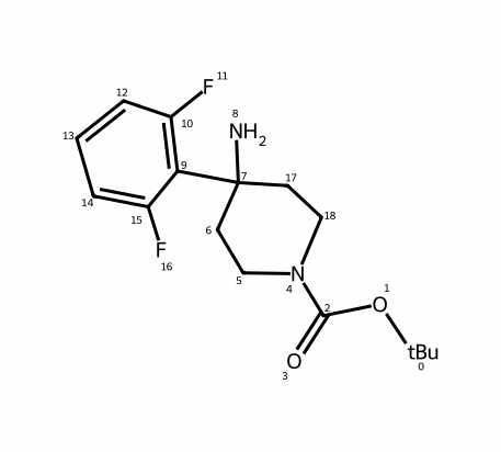 CC(C)(C)OC(=O)N1CCC(N)(c2c(F)cccc2F)CC1